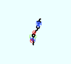 CCCc1nc(-c2c(F)cc(OCCCC3CCN(c4ncc(CC)cn4)CC3)cc2F)no1